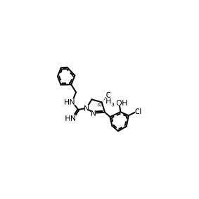 C[C@H]1CN(C(=N)NCc2ccccc2)N=C1c1cccc(Cl)c1O